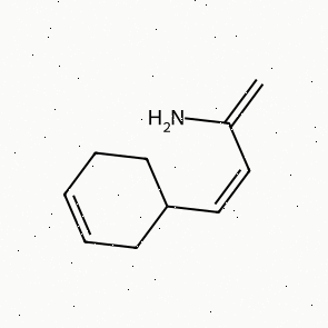 C=C(N)/C=C\C1CC=CCC1